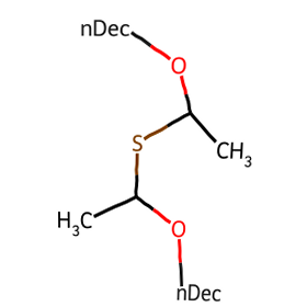 CCCCCCCCCCOC(C)SC(C)OCCCCCCCCCC